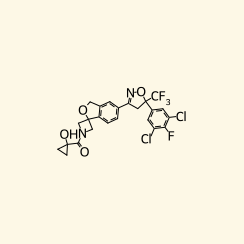 O=C(N1CC2(C1)OCc1cc(C3=NOC(c4cc(Cl)c(F)c(Cl)c4)(C(F)(F)F)C3)ccc12)C1(O)CC1